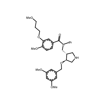 COCCCOc1cc(C(=O)N(C[C@@H]2CNC[C@H]2OCc2cc(OC)cc(OC)c2)C(C)C)ccc1OC